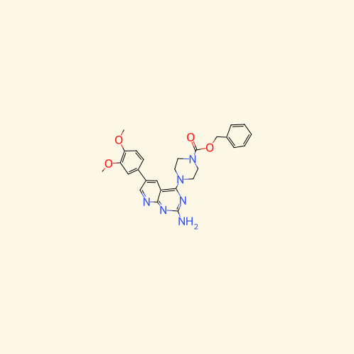 COc1ccc(-c2cnc3nc(N)nc(N4CCN(C(=O)OCc5ccccc5)CC4)c3c2)cc1OC